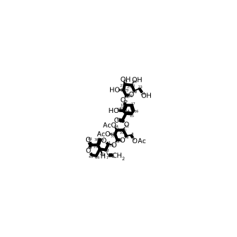 C=C[C@H]1[C@H](O[C@@H]2O[C@H](COC(C)=O)[C@@H](OC(=O)c3cccc(O[C@@H]4O[C@H](CO)[C@@H](O)[C@H](O)[C@H]4O)c3O)[C@H](OC(C)=O)[C@H]2OC(C)=O)OC=C2C(=O)OCC[C@H]21